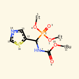 CCOP(=O)(OCC)C(NC(=O)OC(C)(C)C)c1cncs1